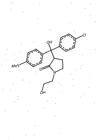 CSc1ccc(C(O)(c2ccc(Cl)cc2)C2CCN(CCO)C2=O)cc1